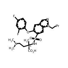 CC(C)Cn1ncc2cc(Oc3ccc(F)cc3F)c(S(=O)(=O)N[C@@](C)(CCN(C)C)C(=O)O)cc21